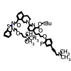 CN(C)CC#Cc1ccc(OCCCc2ccc(N3CCc4cccc(C(=O)/N=c5/sc6ccccc6n5COCC[Si](C)(C)C)c4C3)nc2C(=O)OC(C)(C)C)c(F)c1